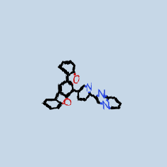 c1ccc2c(c1)oc1c(-c3ccc(-c4cn5ccccc5n4)nc3)c3oc4ccccc4c3cc12